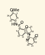 COc1ccc(NC(=O)c2cccc3c2OCCN3c2ncccc2Cl)cc1